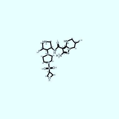 Nc1nn2c(c1C(=O)NC1CNCC(F)C1N1CCN(S(=O)(=O)C3COC3)CC1)NCC(F)C2